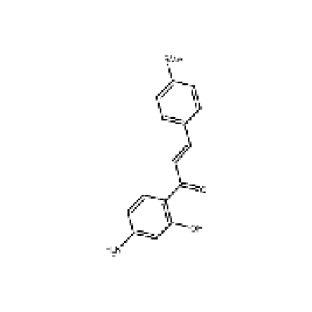 CSc1ccc(/C=C/C(=O)c2ccc(N)cc2O)cc1